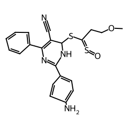 COCCC(SC1NC(c2ccc(N)cc2)=NC(c2ccccc2)=C1C#N)=S=O